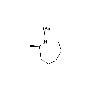 C[C@@H]1CCCCCN1C(C)(C)C